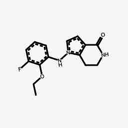 CCOc1c(F)cccc1Nn1ccc2c1CCNC2=O